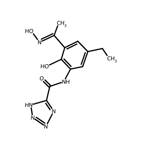 CCc1cc(NC(=O)c2nnn[nH]2)c(O)c(C(C)=NO)c1